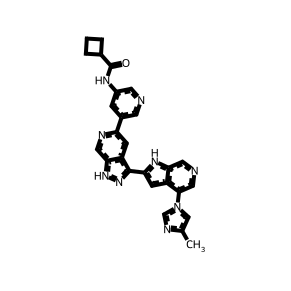 Cc1cn(-c2cncc3[nH]c(-c4n[nH]c5cnc(-c6cncc(NC(=O)C7CCC7)c6)cc45)cc23)cn1